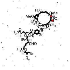 C=C(CBr)C(=O)OC(C)CCCC(C=O)N[C@H](C(=O)N[C@@H](CCCNC(N)=O)C(=O)Nc1ccc(NC(=O)O[C@H]2CC(=O)N(C)c3cc(cc(OC)c3Cl)C/C(C)=C/C=C/[C@@H](OC)[C@@]3(O)C[C@H](OC(=O)N3)[C@@H](C)[C@@H]3O[C@@]23C)c(Br)c1)C(C)C